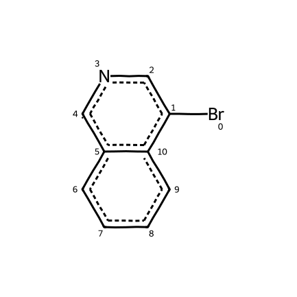 Brc1cn[c]c2ccccc12